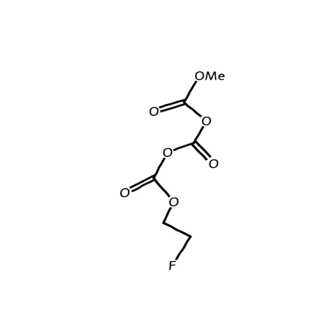 COC(=O)OC(=O)OC(=O)OCCF